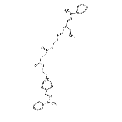 C=CC(/C=N/N(C)c1ccccc1)=C\C=N\CCSC(=O)CCC(=O)SCC[n+]1ccc(/C=N/N(C)c2ccccc2)cc1